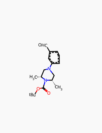 C[C@@H]1CN(c2cccc(C=O)c2)C[C@H](C)N1C(=O)OC(C)(C)C